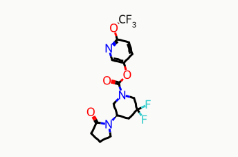 O=C(Oc1ccc(OC(F)(F)F)nc1)N1C[C@H](N2CCCC2=O)CC(F)(F)C1